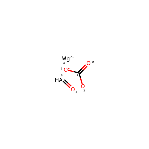 O=C([O-])[O-].[Mg+2].[O]=[AlH]